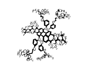 CO[Si](CCOc1cccc(Oc2cc3c4c(cc(Oc5cccc(OCC[Si](OC)(OC)OC)c5)c5c6c(Oc7cccc(OCC[Si](OC)(OC)OC)c7)cc7c8c(cc(Oc9cccc(OCC[Si](OC)(OC)OC)c9)c(c2c45)c86)C(=O)N(C(C(=O)NC(C(F)(F)F)C(F)(F)F)C(C)C)C7=O)C(=O)N(C(C(=O)NC(C(F)(F)F)C(F)(F)F)C(C)C)C3=O)c1)(OC)OC